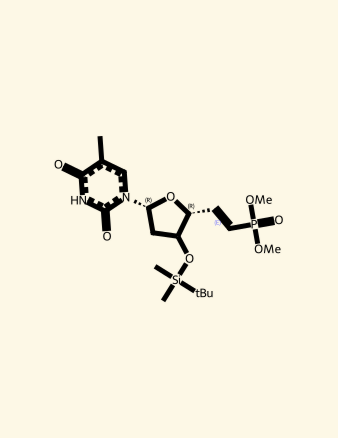 COP(=O)(/C=C/[C@H]1O[C@@H](n2cc(C)c(=O)[nH]c2=O)CC1O[Si](C)(C)C(C)(C)C)OC